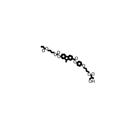 C=CC(=O)OCCCCOC(=O)Oc1ccc2c(c1)C(C)c1cc(C(=O)Oc3ccc(OCCCCOC(=O)C(=C)CO)cc3)ccc1-2